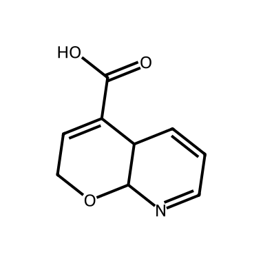 O=C(O)C1=CCOC2N=CC=CC12